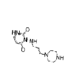 O=c1cc[nH]c(=O)n1NCC=CN1CCNCC1